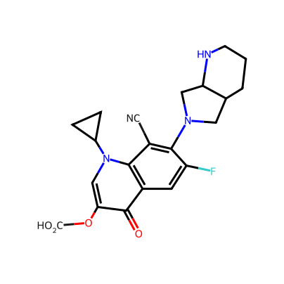 N#Cc1c(N2CC3CCCNC3C2)c(F)cc2c(=O)c(OC(=O)O)cn(C3CC3)c12